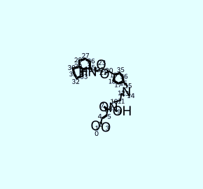 COC(=O)/C=C/C(=O)N(O)CCCN(C)Cc1ccc(COC(=O)Nc2cccc3ccccc23)cc1